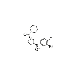 CCc1cc([S+]([O-])C2CCN(C(=O)C3CCCCC3)C2)ccc1F